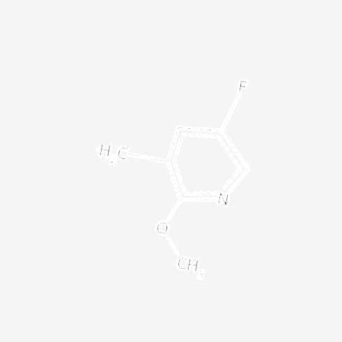 [CH2]c1cc(F)cnc1OC